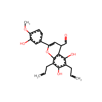 C=CCc1c(O)c(CC=C)c2c(c1O)C(C=O)C=C(c1ccc(OC)c(O)c1)O2